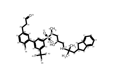 CN(C[C@H](O)CNC(C)(C)CC1Cc2ccccc2C1)S(=O)(=O)c1cc(-c2cc(CCC=O)ccc2F)cc(C(F)(F)F)c1